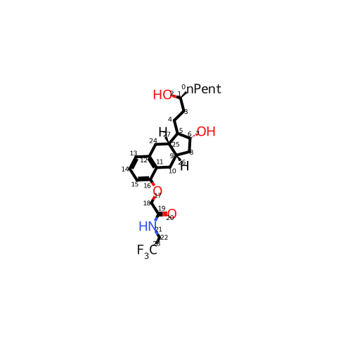 CCCCC[C@H](O)CCC1[C@H](O)C[C@@H]2Cc3c(cccc3OCC(=O)NCC(F)(F)F)C[C@H]12